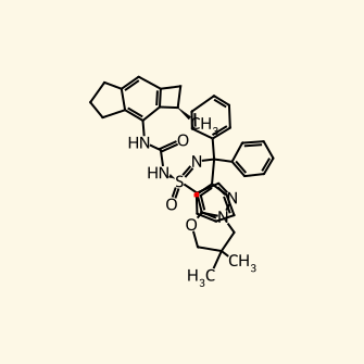 C[C@@H]1Cc2cc3c(c(NC(=O)N[S@@](=O)(=NC(c4ccccc4)(c4ccccc4)c4ccccc4)c4cnn5c4OCC(C)(C)C5)c21)CCC3